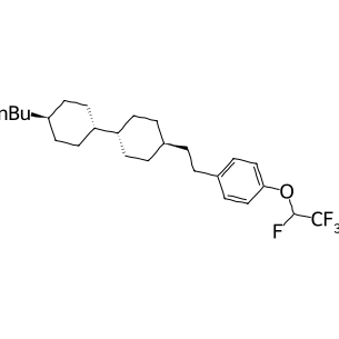 CCCC[C@H]1CC[C@H]([C@H]2CC[C@H](CCc3ccc(OC(F)C(F)(F)F)cc3)CC2)CC1